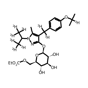 [2H]C(C)(C)Oc1ccc(C([2H])([2H])c2c(O[C@@H]3O[C@H](COC(=O)OCC)[C@@H](O)[C@H](O)[C@H]3O)nn(C(C([2H])([2H])[2H])C([2H])([2H])[2H])c2C)cc1